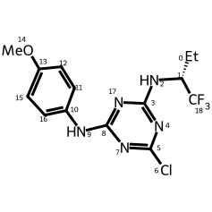 CC[C@@H](Nc1nc(Cl)nc(Nc2ccc(OC)cc2)n1)C(F)(F)F